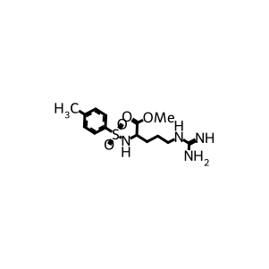 COC(=O)C(CCCNC(=N)N)NS(=O)(=O)c1ccc(C)cc1